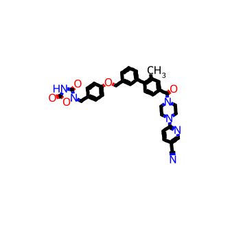 Cc1cc(C(=O)N2CCN(c3ccc(C#N)cn3)CC2)ccc1-c1cccc(COc2ccc(Cn3oc(=O)[nH]c3=O)cc2)c1